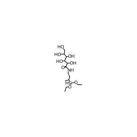 CCO[SiH](OCC)C(C)CCNC(=O)C(O)C(O)C(O)C(O)CO